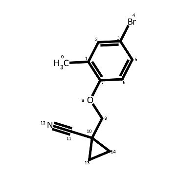 Cc1cc(Br)ccc1OCC1(C#N)CC1